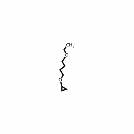 [CH2]COCCCCOC1CC1